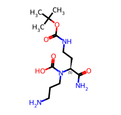 CC(C)(C)OC(=O)NCC[C@@H](C(N)=O)N(CCCN)C(=O)O